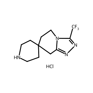 Cl.FC(F)(F)c1nnc2n1CCC1(CCNCC1)C2